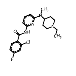 CCN1CCC(N(C)c2cccc(NC(=O)c3ccc(F)cc3Cl)n2)CC1